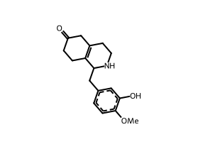 COc1ccc(CC2NCCC3=C2CCC(=O)C3)cc1O